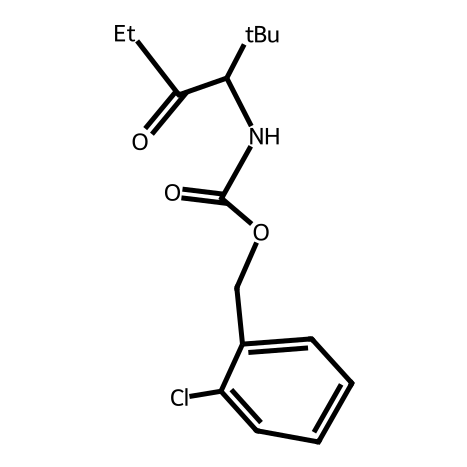 CCC(=O)C(NC(=O)OCc1ccccc1Cl)C(C)(C)C